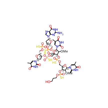 C=C1NC(=O)C(C)=CN1[C@@H]1O[C@H](COP(=O)(S)O[C@@H]2C(OC)[C@H](n3cc(C)c(=O)[nH]c3=O)O[C@@H]2COP(=O)(S)O[C@@H]2C[C@H](n3cc(C)c(=O)[nH]c3=O)O[C@@H]2COP(=O)(S)O[C@@H]2C[C@H](n3cnc4c(=O)[nH]c(N)nc43)O[C@@H]2COP(=O)(S)OC(C)C)[C@H](OP(=O)(S)OCCCO)C1OC